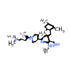 C=C1CC(C)=CC(C)=C1Cc1cc(C2=CCN(C(=C)CCCN(C)C)CC2)nc(NC(C)C)c1C=N